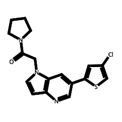 O=C(Cn1ccc2ncc(-c3cc(Cl)cs3)cc21)N1CCCC1